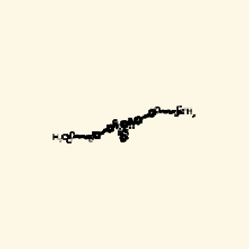 C=CC(=O)OCCCCCCOc1ccc(C#Cc2ccc(C(=O)Oc3ccc(OC(=O)c4ccc(C#Cc5ccc(OCCCCCCOC(=O)C=C)cc5)cc4)c(-c4nc5ccccc5s4)c3)cc2)cc1